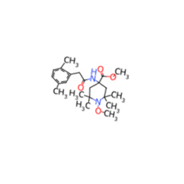 COC(=O)C1(NC(=O)Cc2cc(C)ccc2C)CC(C)(C)N(OC)C(C)(C)C1